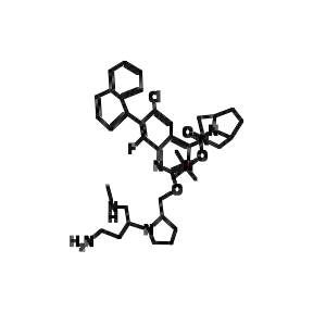 CNCC(CCN)N1CCCC1COc1nc(N2CC3CCC(C2)N3C(=O)OC(C)(C)C)c2cc(Cl)c(-c3cccc4ccccc34)c(F)c2n1